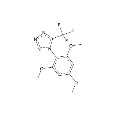 COc1cc(OC)c(-n2nnnc2C(F)(F)F)c(OC)c1